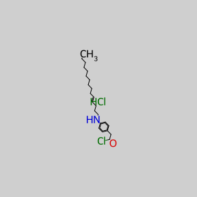 CCCCCCCCCCC=CCCCNc1ccc(CC(=O)Cl)cc1.Cl